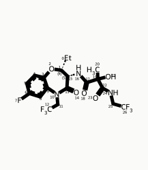 CC[C@H]1Oc2ccc(F)cc2N(CC(F)(F)F)C(=O)[C@H]1NC(=O)C(C)(O)C(=O)NCC(F)(F)F